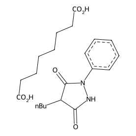 CCCCC1C(=O)NN(c2ccccc2)C1=O.O=C(O)CCCCCCC(=O)O